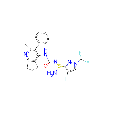 Cc1nc2c(c(NC(=O)N=S(N)c3nn(C(F)F)cc3F)c1-c1ccccc1)CCC2